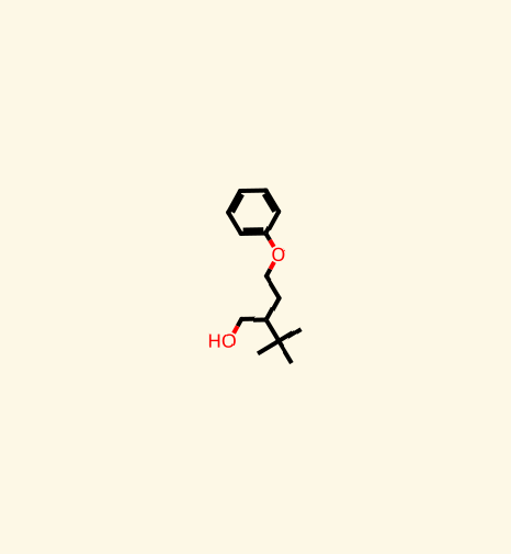 CC(C)(C)C(CO)CCOc1ccccc1